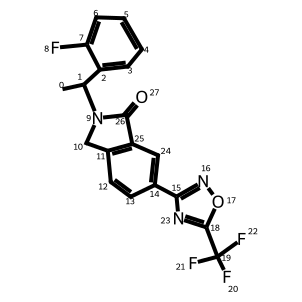 CC(c1ccccc1F)N1Cc2ccc(-c3noc(C(F)(F)F)n3)cc2C1=O